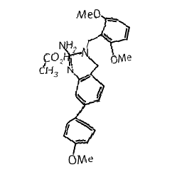 CC(=O)O.COc1ccc(-c2ccc3c(c2)N=C(N)N(Cc2c(OC)cccc2OC)C3)cc1